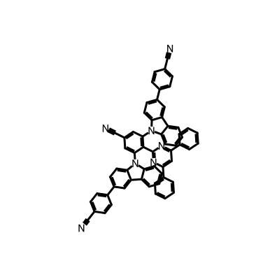 N#Cc1ccc(-c2ccc3c(c2)c2ccccc2n3-c2cc(C#N)cc(-n3c4ccccc4c4cc(-c5ccc(C#N)cc5)ccc43)c2-c2nc(-c3ccccc3)cc(-c3ccccc3)n2)cc1